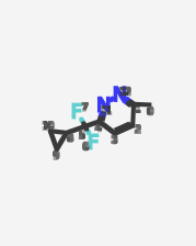 Cc1ccc(C(F)(F)C2CC2)nn1